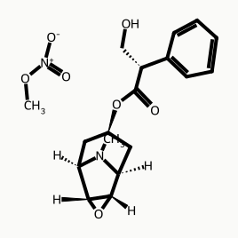 CN1[C@@H]2C[C@@H](OC(=O)[C@H](CO)c3ccccc3)C[C@H]1[C@@H]1O[C@@H]12.CO[N+](=O)[O-]